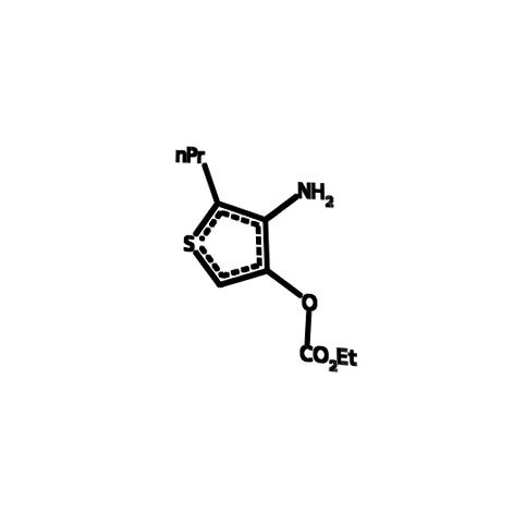 CCCc1scc(OC(=O)OCC)c1N